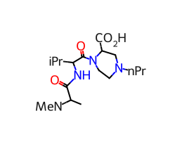 CCCN1CCN(C(=O)C(NC(=O)C(C)NC)C(C)C)C(C(=O)O)C1